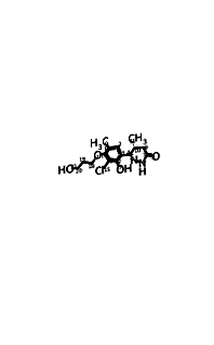 Cc1cc(C2=NNC(=O)C[C@H]2C)c(O)c(Cl)c1OCCCO